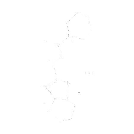 Cl.O=C(CSC1=N[C@@H]2CCCC[C@@H]2N1)N1CCCCC1